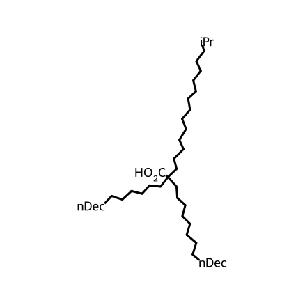 CCCCCCCCCCCCCCCCCCC(CCCCCCCCCCCCCCCC)(CCCCCCCCCCCCCC(C)C)C(=O)O